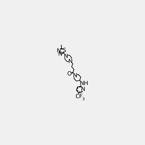 Cc1nnc(N2CCN(CCCC(=O)N3CCC(Nc4ccc(C(F)(F)F)cn4)CC3)CC2)s1